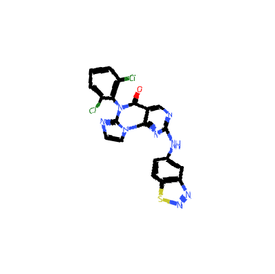 O=c1c2cnc(Nc3ccc4snnc4c3)nc2n2ccnc2n1-c1c(Cl)cccc1Cl